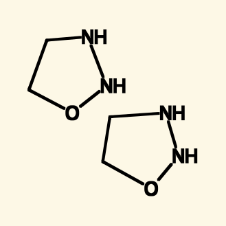 C1CONN1.C1CONN1